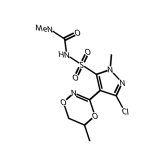 CNC(=O)NS(=O)(=O)c1c(C2=NOCC(C)O2)c(Cl)nn1C